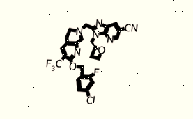 N#Cc1cnc2c(c1)nc(CN1CCc3cc(C(F)(F)F)c(OCc4ccc(Cl)cc4F)nc3C1)n2C[C@@H]1CCO1